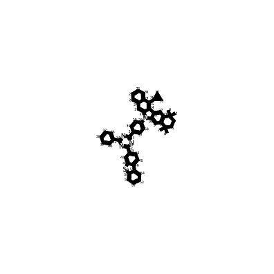 CC1(C)CCC(C)(C)c2cc3c(cc21)c1c(C2=CC2)c2ccccc2cc1n3-c1ccc(-c2nc(-c3ccccc3)nc(-c3ccc4c(c3)sc3ccccc34)n2)cc1